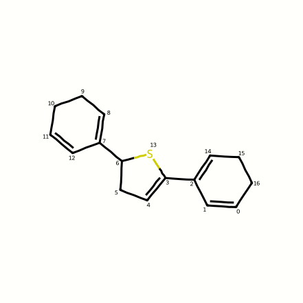 C1=CC(C2=CCC(C3=CCCC=C3)S2)=CCC1